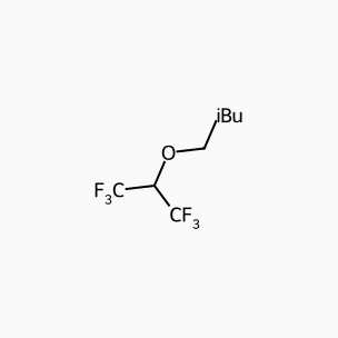 CCC(C)COC(C(F)(F)F)C(F)(F)F